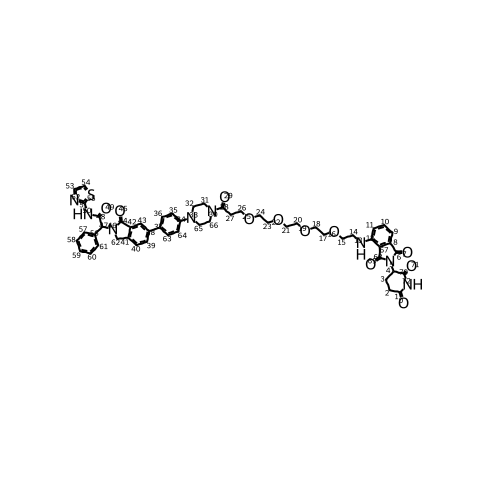 O=C1CCC(N2C(=O)c3cccc(NCCOCCOCCOCCOCCC(=O)N4CCN(c5ccc(-c6ccc7c(c6)C(=O)N(C(C(=O)Nc6nccs6)c6ccccc6)C7)cc5)CC4)c3C2=O)C(=O)N1